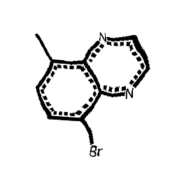 Cc1ccc(Br)c2nccnc12